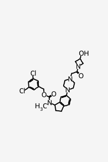 CN(C(=O)OCc1cc(Cl)cc(Cl)c1)C1CCc2ccc(N3CCN(CC(=O)N4CC(O)C4)CC3)cc21